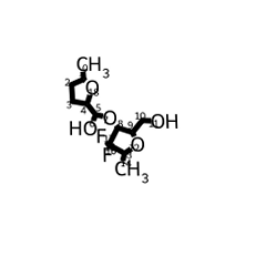 CC1CCC(C(O)OC2C(CO)OC(C)C2(F)F)O1